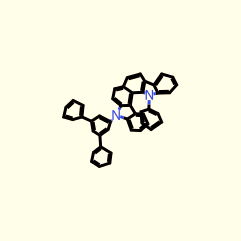 c1ccc(-c2cc(-c3ccccc3)cc(-n3c4ccccc4c4c5c(ccc6c7ccccc7n(-c7ccccc7)c65)ccc43)c2)cc1